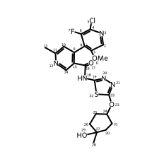 COc1cnc(Cl)c(F)c1-c1cc(C)ncc1C(=O)Nc1nnc(OC2CCC(C)(O)CC2)s1